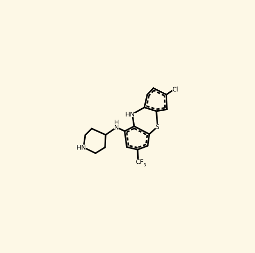 FC(F)(F)c1cc(NC2CCNCC2)c2c(c1)Sc1cc(Cl)ccc1N2